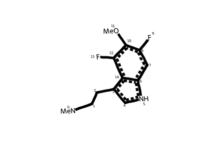 CNCCc1c[nH]c2cc(F)c(OC)c(F)c12